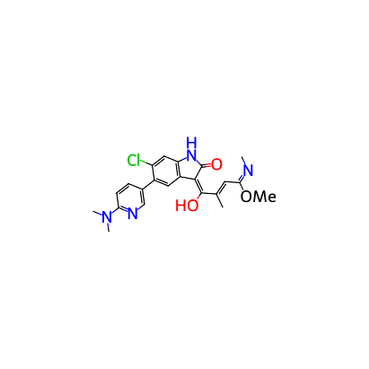 C/N=C(\C=C(C)C(O)=C1C(=O)Nc2cc(Cl)c(-c3ccc(N(C)C)nc3)cc21)OC